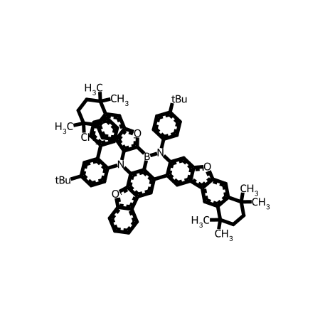 CC(C)(C)c1ccc(N2B3c4oc5cc6c(cc5c4N(c4ccc(C(C)(C)C)cc4-c4ccccc4)c4c3c(cc3c4oc4ccccc43)-c3cc4c(cc32)oc2cc3c(cc24)C(C)(C)CCC3(C)C)C(C)(C)CCC6(C)C)cc1